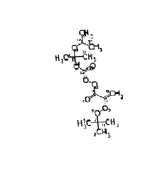 C=C(OOC(C)(C)C)C(=O)OOC(=O)OC(C)(C)OC(C)C